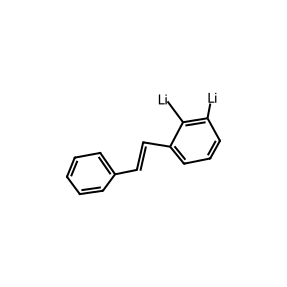 [Li][c]1cccc(C=Cc2ccccc2)[c]1[Li]